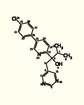 CC(C)C(O)(Cc1cncnc1)c1ccc(-c2ccc(Cl)cc2)cn1